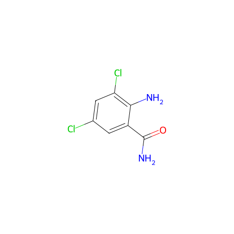 NC(=O)c1cc(Cl)cc(Cl)c1N